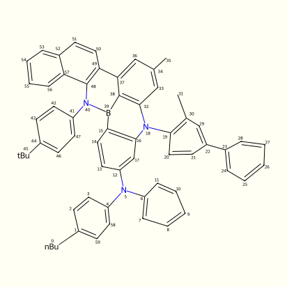 CCCCc1ccc(N(c2ccccc2)c2ccc3c(c2)N(c2ccc(-c4ccccc4)cc2C)c2cc(C)cc4c2B3N(c2ccc(C(C)(C)C)cc2)c2c-4ccc3ccccc23)cc1